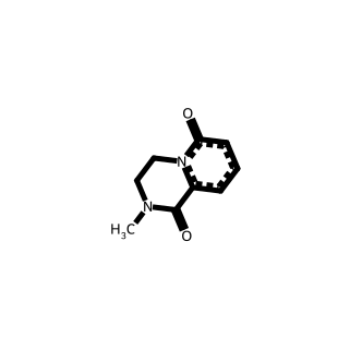 CN1CCn2c(cccc2=O)C1=O